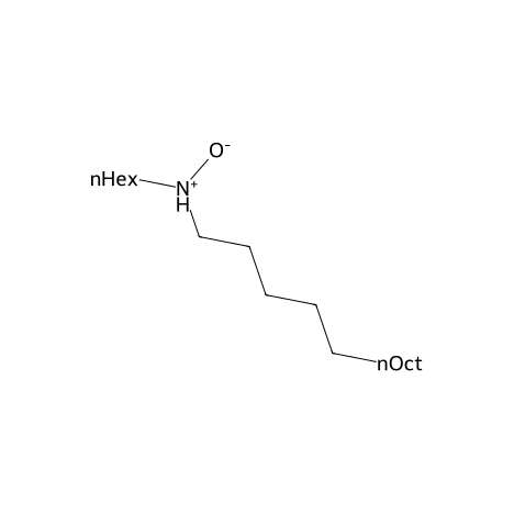 CCCCCCCCCCCCC[NH+]([O-])CCCCCC